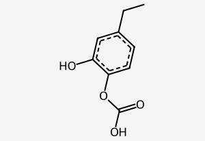 CCc1ccc(OC(=O)O)c(O)c1